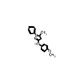 COc1ccc(NC2=NN(c3ccccc3)C(C)C2)cc1